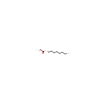 CCCCCCCCCCCCCCCCOC(=O)COC=O